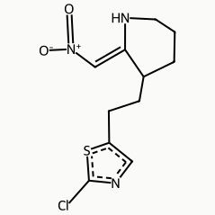 O=[N+]([O-])C=C1NCCCC1CCc1cnc(Cl)s1